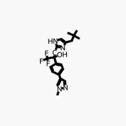 Cn1cc(-c2ccc(C(O)(Cc3nc(CC(C)(C)C)c[nH]3)C(F)(F)F)cc2)cn1